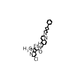 CCc1c(C(=O)NCc2ccc3nc(N4CC5(CC(c6ccccc6)C5)C4)ccc3c2)c2cc(Cl)cnc2n1C